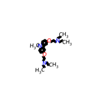 CCCN(CCC)CCCOc1ccc2c(c1)c1cc(OCCCN(CCC)CCC)ccc1n2C